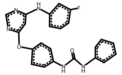 O=C(Nc1ccccc1)Nc1ccc(Oc2cc(Nc3cccc(F)c3)ncn2)cc1